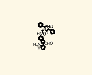 CCN1CC(c2ccccc2)N(CC(=O)Nc2ccc3c(c2)CC(C=O)(C2=C(N)NCC=C2)C3)C(=O)C1c1ccccc1